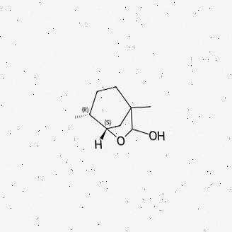 C[C@@H]1CCC2(C)C[C@@H]1OC2O